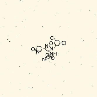 CCCS(=O)(=O)Nc1cc(-c2ccc(=O)n(C)c2)nc(Oc2c(C)cc(Cl)cc2Cl)n1